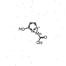 O=[C](O)[Mn]1[n]2c(O)cc[n+]21